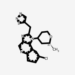 C[C@@H]1CC(n2c(Cc3cnns3)nc3cnc4ccc(Cl)cc4c32)CCO1